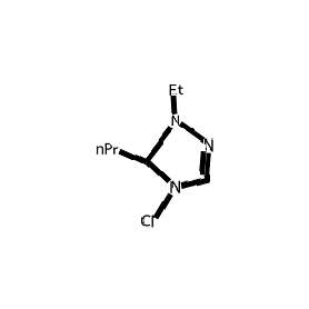 CCCC1N(Cl)C=NN1CC